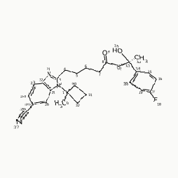 CC1(n2c(CCCCC(=O)C[C@@](C)(O)c3ccc(F)cc3)nc3ccc(C#N)cc32)CCC1